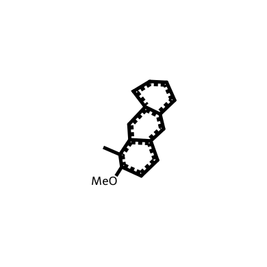 COc1ccc2cc3ccccc3cc2c1C